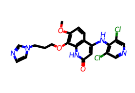 COc1ccc2c(Nc3c(Cl)cncc3Cl)cc(=O)[nH]c2c1OCCCn1ccnc1